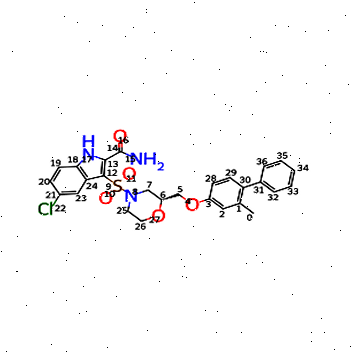 Cc1cc(OC[C@@H]2CN(S(=O)(=O)c3c(C(N)=O)[nH]c4ccc(Cl)cc34)CCO2)ccc1-c1ccccc1